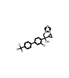 OC(Cn1cncn1)(c1ccc(-c2ccc(C(F)(F)F)cc2)cc1Cl)C1CC1